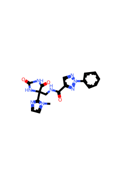 Cn1ccnc1C1(CNC(=O)c2cnn(-c3ccccc3)n2)NC(=O)NC1=O